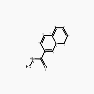 O=C(NO)C1=CN2CC=CC=C2C=C1